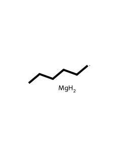 [CH2]CCCCC.[MgH2]